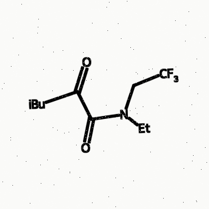 CCC(C)C(=O)C(=O)N(CC)CC(F)(F)F